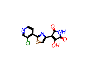 O=C1NC(=O)C(c2csc(-c3ccncc3Cl)n2)=C1O